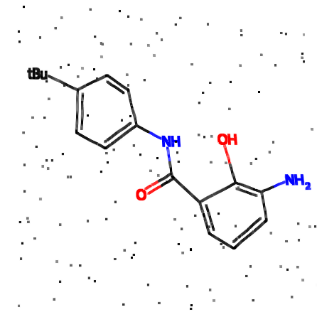 CC(C)(C)c1ccc(NC(=O)c2cccc(N)c2O)cc1